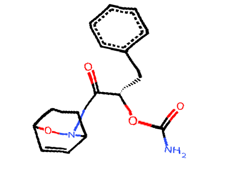 NC(=O)O[C@@H](Cc1ccccc1)C(=O)N1OC2C=CC1CC2